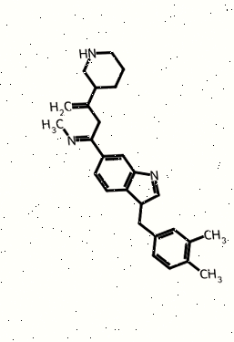 C=C(C/C(=N\C)c1ccc2c(c1)N=CC2Cc1ccc(C)c(C)c1)C1CCCNC1